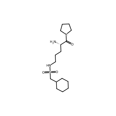 N[C@@H](CCCNS(=O)(=O)CC1CCCCC1)C(=O)N1CCCC1